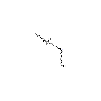 CCCCCNC(=O)NCCCC/C=C\CCCCCO